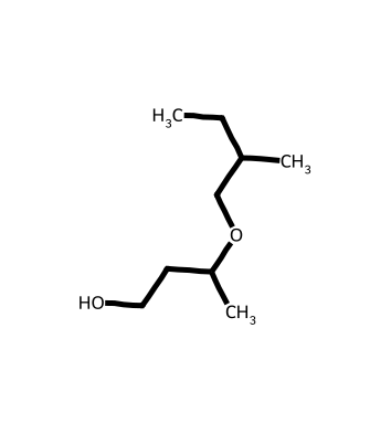 CCC(C)COC(C)CCO